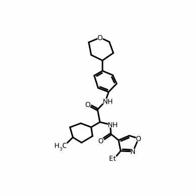 CCc1nocc1C(=O)NC(C(=O)Nc1ccc(C2CCOCC2)cc1)C1CCC(C)CC1